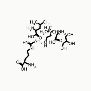 CC(C)CC(N)C(=O)O.C[N+](C)(C)CCO.N=C(N)NCCCC(N)C(=O)O.NCC(=O)O.OCC(O)CO